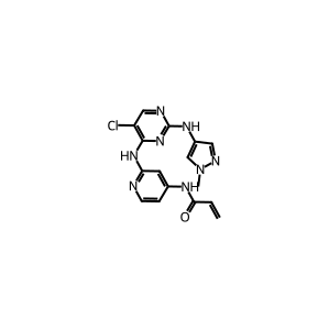 C=CC(=O)Nc1ccnc(Nc2nc(Nc3cnn(C)c3)ncc2Cl)c1